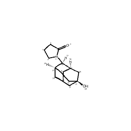 O=C1CCCN1[C@H]1[C@@H]2CC3C[C@@H]1C[C@@](O)(C3)C2